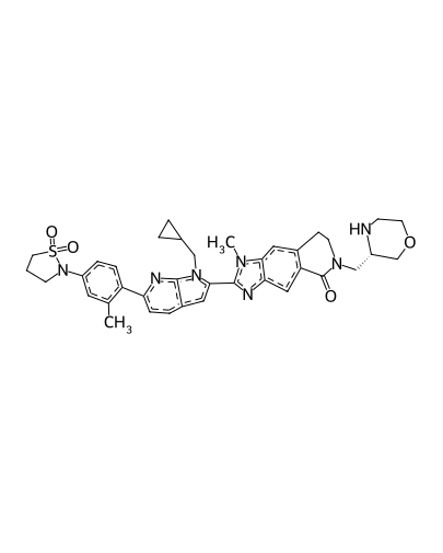 Cc1cc(N2CCCS2(=O)=O)ccc1-c1ccc2cc(-c3nc4cc5c(cc4n3C)CCN(C[C@H]3COCCN3)C5=O)n(CC3CC3)c2n1